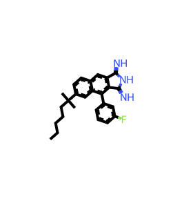 CCCCCC(C)(C)c1ccc2cc3c(c(-c4cccc(F)c4)c2c1)C(=N)NC3=N